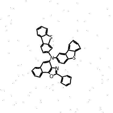 c1ccc(-c2nc3c(N(c4ccc5c(c4)sc4ccccc45)c4ccc5sc6ccccc6c5c4)cc4ccccc4c3o2)cc1